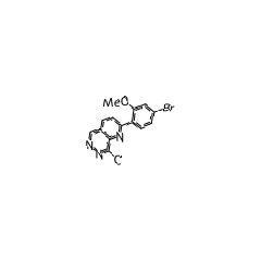 COc1cc(Br)ccc1-c1ccc2cnnc(Cl)c2n1